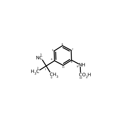 CC(C)(C#N)c1cccc(NC(=O)O)c1